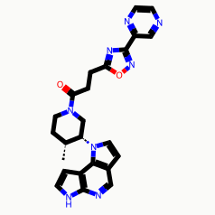 C[C@@H]1CCN(C(=O)CCc2nc(-c3cnccn3)no2)C[C@@H]1n1ccc2cnc3[nH]ccc3c21